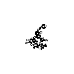 C=C[C@@H]1C[C@]1(NC(=O)[C@@H]1C[C@@H](Oc2cc(-c3nc(C(C)C)cs3)nc3c(Cl)c(OCCN4CCOCC4)ccc23)[C@H]2CN[C@H](C(C)C)C(=O)N21)C(=O)NS(=O)(=O)C1CC1